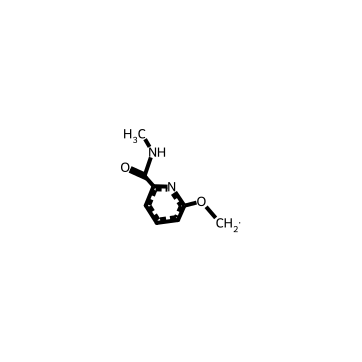 [CH2]Oc1cccc(C(=O)NC)n1